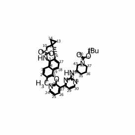 Cc1ccc2c(NS(=O)(=O)CC3(F)CC3)c(F)ccc2c1Oc1ncccc1-c1ccnc(N[C@H]2CCCN(C(=O)OC(C)(C)C)C2)n1